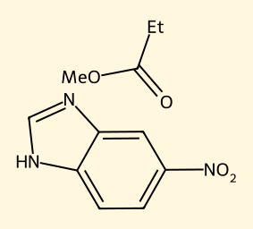 CCC(=O)OC.O=[N+]([O-])c1ccc2[nH]cnc2c1